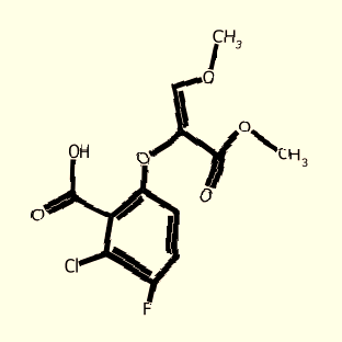 CO/C=C(/Oc1ccc(F)c(Cl)c1C(=O)O)C(=O)OC